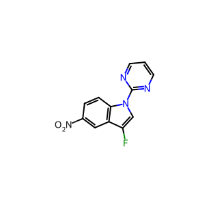 O=[N+]([O-])c1ccc2c(c1)c(F)cn2-c1ncccn1